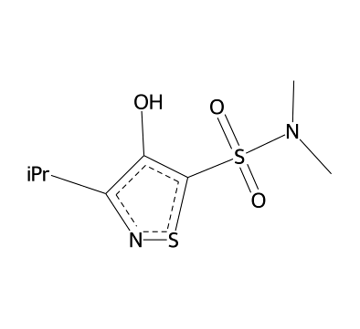 CC(C)c1nsc(S(=O)(=O)N(C)C)c1O